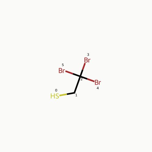 SCC(Br)(Br)Br